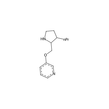 CCCC1CCNC1COc1cccnc1